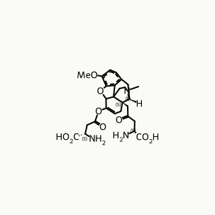 COc1ccc2c3c1OC1C(OC(=O)C[C@H](N)C(=O)O)=CC[C@@]4(CC(=O)C[C@H](N)C(=O)O)[C@@H](C2)N(C)CCC314